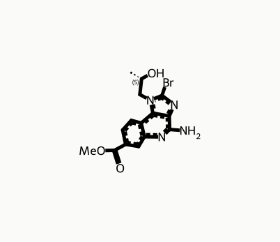 COC(=O)c1ccc2c(c1)nc(N)c1nc(Br)n(C[C@H](C)O)c12